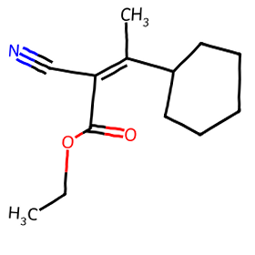 CCOC(=O)C(C#N)=C(C)C1CCCCC1